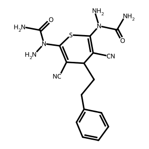 N#CC1=C(N(N)C(N)=O)SC(N(N)C(N)=O)=C(C#N)C1CCc1ccccc1